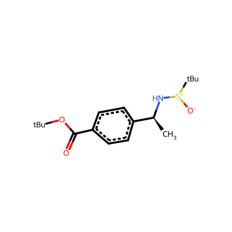 C[C@H](N[S+]([O-])C(C)(C)C)c1ccc(C(=O)OC(C)(C)C)cc1